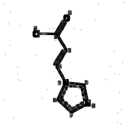 O=C(Cl)C=Cn1ccnc1